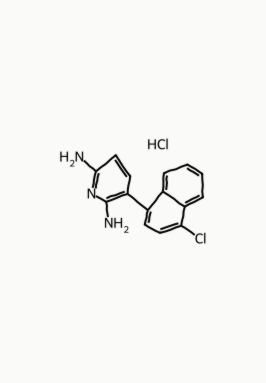 Cl.Nc1ccc(-c2ccc(Cl)c3ccccc23)c(N)n1